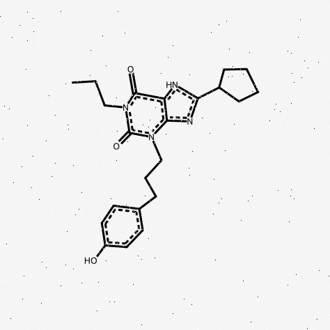 CCCn1c(=O)c2[nH]c(C3CCCC3)nc2n(CCCc2ccc(O)cc2)c1=O